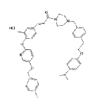 Cc1ccc(COc2ccc(Oc3ccc(C=CC(=O)N4CCN(Cc5ccc(CCOc6ccc(C(C)C)cc6)cc5)CC4)cc3C)nc2)cc1.Cl